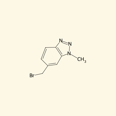 Cn1nnc2ccc(CBr)cc21